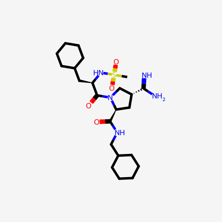 CS(=O)(=O)N[C@H](CC1CCCCC1)C(=O)N1C[C@H](C(=N)N)C[C@H]1C(=O)NCC1CCCCC1